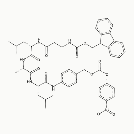 CC(C)C[C@H](NC(=O)CCNC(=O)OCC1c2ccccc2-c2ccccc21)C(=O)N[C@@H](C)C(=O)N[C@@H](CC(C)C)C(=O)Nc1ccc(COC(=O)Oc2ccc([N+](=O)[O-])cc2)cc1